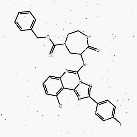 O=C1NCCN(C(=O)OCc2ccccc2)CC1Nc1nc2cccc(Cl)c2c2nc(-c3ccc(F)cc3)nn12